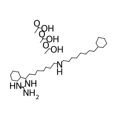 CC(=O)O.CC(=O)O.CC(=O)O.N=C(N)NC(CCCCCCCNCCCCCCCCC1CCCCC1)C1CCCCC1